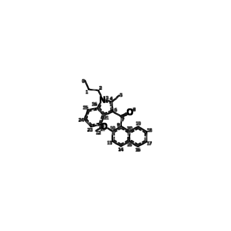 CCCn1c(C)c(C(=O)c2c(OC)ccc3ccccc23)c2ccccc21